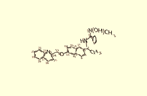 CC(NC(=O)N(C)O)c1ccc2cc(OCc3ccc4ccccc4n3)ccc2c1